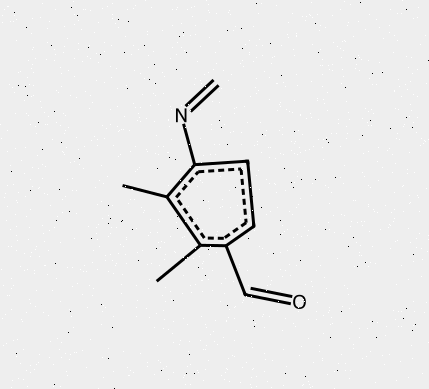 C=Nc1ccc(C=O)c(C)c1C